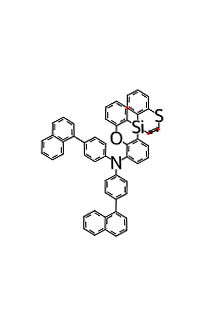 c1ccc2c(c1)Oc1c(N(c3ccc(-c4cccc5ccccc45)cc3)c3ccc(-c4cccc5ccccc45)cc3)cccc1[Si]21c2ccccc2Sc2ccccc21